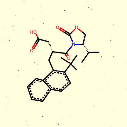 CC(C)[C@H]1COC(=O)N1C(=O)[C@@H](CC(=O)O)Cc1c(C(C)(C)C)ccc2ccccc12